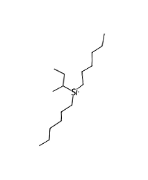 CCCCCC[Si](CCCCCC)C(C)CC